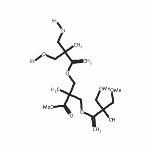 C=C(OCC(C)(COC(=C)C(C)(COCC)COCC)C(=O)OC)C(C)(COC)COC